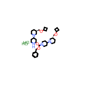 C1CC(OC[C@@H]2CCCN(C3CCNCC3)C2)C1.Cl.Cl.O=C(OCc1ccccc1)N1CCC(N2CCC[C@@H](COC3CCC3)C2)CC1